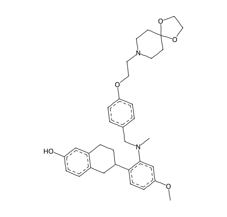 COc1ccc(C2CCc3cc(O)ccc3C2)c(N(C)Cc2ccc(OCCN3CCC4(CC3)OCCO4)cc2)c1